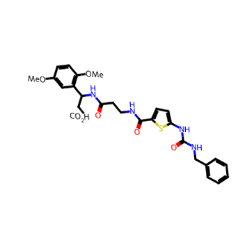 COc1ccc(OC)c(C(CC(=O)O)NC(=O)CCNC(=O)c2ccc(NC(=O)NCc3ccccc3)s2)c1